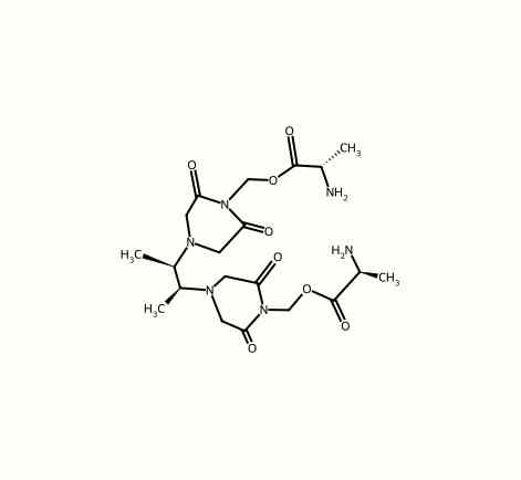 C[C@H](N)C(=O)OCN1C(=O)CN([C@H](C)[C@H](C)N2CC(=O)N(COC(=O)[C@H](C)N)C(=O)C2)CC1=O